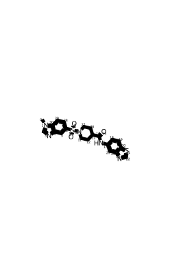 Cn1cnc2cc(S(=O)(=O)N3CCC(C(=O)Nc4ccc5scnc5c4)CC3)ccc21